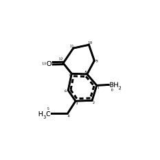 Bc1cc(CC)cc2c1CCCC2=O